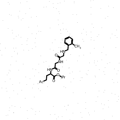 CC(=O)CCC(NC(=O)CNC(=O)CNCc1ccccc1C)C(=O)OC(C)C